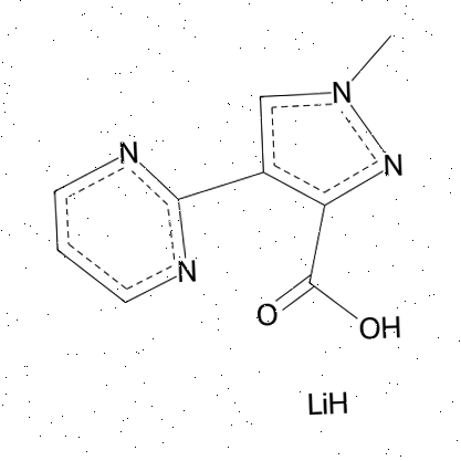 Cn1cc(-c2ncccn2)c(C(=O)O)n1.[LiH]